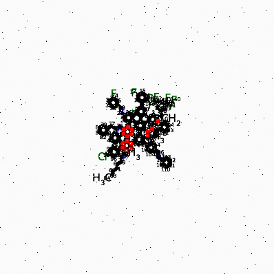 C=C(c1ccc(-c2c(-c3ccc(-c4cccc(F)c4)cc3F)c(-c3ccc(/C=C/c4cccc(F)c4)cc3)c(-c3ccc(-c4ccccc4COC)c(-c4ccc(/C=C/CCCCCC)cc4)c3)c(-c3c(-c4ccc(/C=C/Cc5ccccc5)cc4)c(-c4ccc(-c5ccc(Cl)cc5)cc4)[c]c(-c4ccc(/C=C/c5ccccc5)cc4)c3-c3ccc(-c4ccccc4F)cc3)c2C(C)C)cc1)c1cc(C(F)(F)F)cc(C(F)(F)F)c1